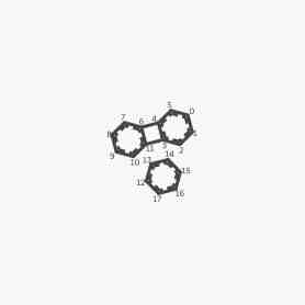 c1ccc2c(c1)-c1ccccc1-2.c1ccccc1